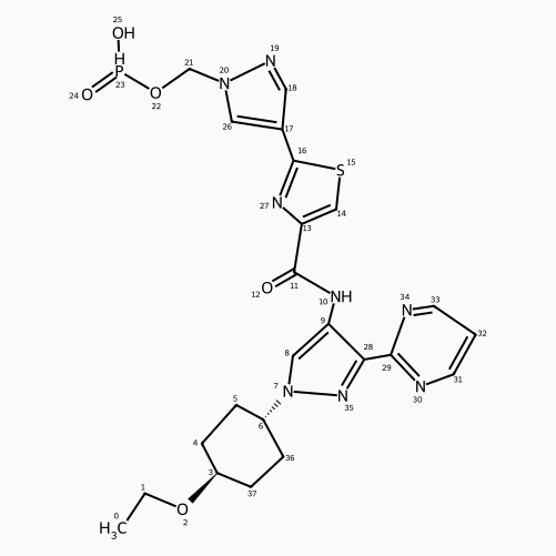 CCO[C@H]1CC[C@H](n2cc(NC(=O)c3csc(-c4cnn(CO[PH](=O)O)c4)n3)c(-c3ncccn3)n2)CC1